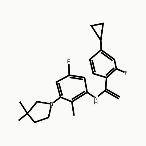 C=C(Nc1cc(F)cc(B2CCC(C)(C)C2)c1C)c1ccc(C2CC2)cc1F